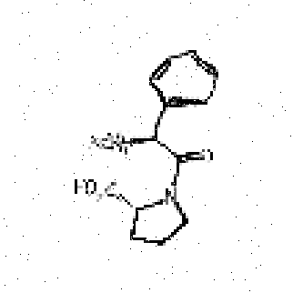 CC(=O)NC(C(=O)N1CCC[C@@H]1C(=O)O)c1ccccc1